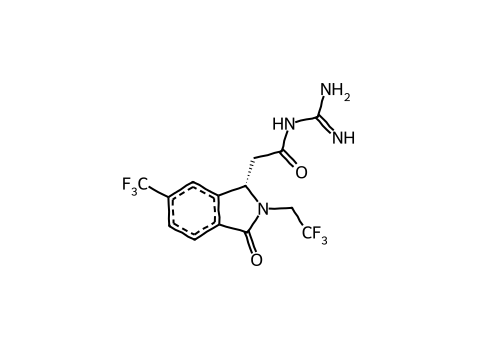 N=C(N)NC(=O)C[C@H]1c2cc(C(F)(F)F)ccc2C(=O)N1CC(F)(F)F